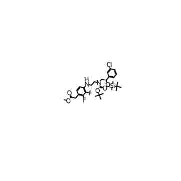 COC(=O)Cc1ccc(NCCN(C[C@H](O[Si](C)(C)C(C)(C)C)c2cccc(Cl)c2)C(=O)OC(C)(C)C)c(F)c1F